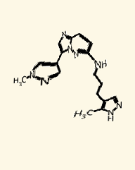 Cc1[nH]ncc1CCCNc1ccc2ncc(-c3cnn(C)c3)n2n1